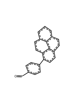 O=Pc1ccc(-c2ccc3ccc4cccc5ccc2c3c45)cc1